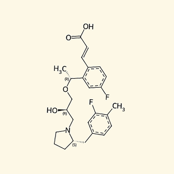 Cc1ccc(C[C@@H]2CCCN2C[C@@H](O)CO[C@H](C)c2cc(F)ccc2C=CC(=O)O)cc1F